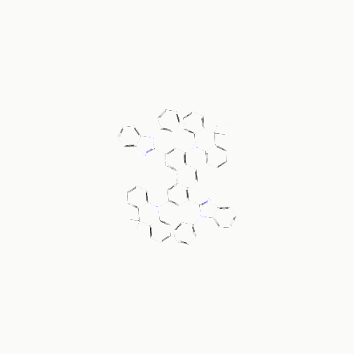 CC1(C)c2ccccc2N(c2cc(-c3nc4ccccc4n3-c3ccccc3)c3ccc4c(N5c6ccccc6C(C)(C)c6ccccc65)cc(-c5nc6ccccc6n5-c5ccccc5)cc4c3c2)c2ccccc21